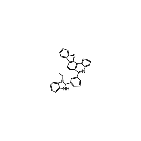 CCN1c2ccccc2NC1c1cccc(-c2nc3ccccc3c3c2ccc2c4ccccc4sc23)c1